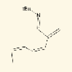 C=C(/C=C\C=C/C)/C=N/C(C)(C)C